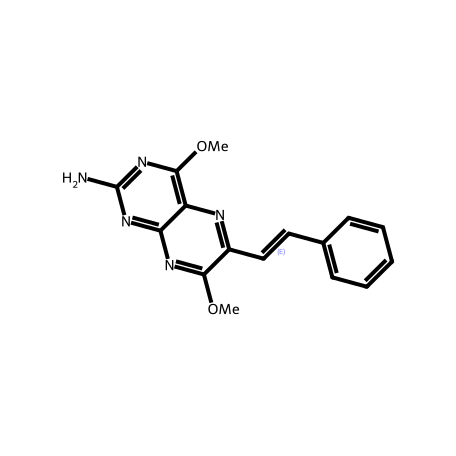 COc1nc2nc(N)nc(OC)c2nc1/C=C/c1ccccc1